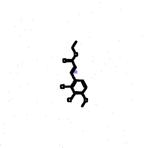 CCOC(=O)/C=C/c1ccc(OC)c(Cl)c1Cl